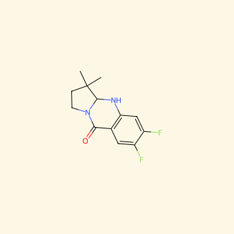 CC1(C)CCN2C(=O)c3cc(F)c(F)cc3NC21